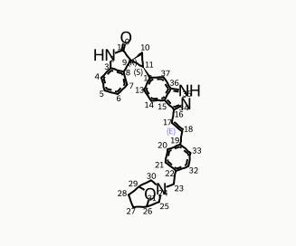 O=C1Nc2ccccc2[C@]12C[C@H]2c1ccc2c(/C=C/c3ccc(CN4CC5CCC(C4)O5)cc3)n[nH]c2c1